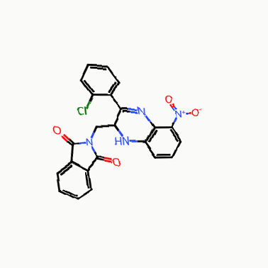 O=C1c2ccccc2C(=O)N1CC1Nc2cccc([N+](=O)[O-])c2N=C1c1ccccc1Cl